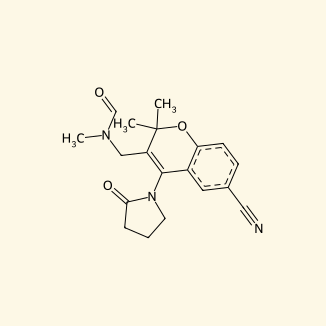 CN(C=O)CC1=C(N2CCCC2=O)c2cc(C#N)ccc2OC1(C)C